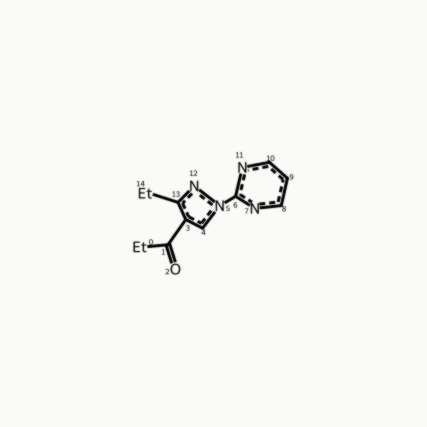 CCC(=O)c1cn(-c2ncccn2)nc1CC